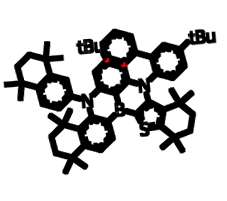 CC(C)(C)c1ccc(N2c3cc(C(C)(C)C)cc4c3B(c3ccc5c(c3N4c3ccc4c(c3)C(C)(C)CCC4(C)C)C(C)(C)CCC5(C)C)c3sc4c(c32)C(C)(C)CCC4(C)C)c(-c2c#cccc2)c1